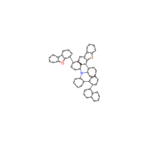 c1ccc(-c2cccc3ccccc23)c(-c2ccccc2N(c2ccc(-c3cccc4c3oc3ccccc34)cc2)c2ccccc2-c2cccc3c2sc2ccccc23)c1